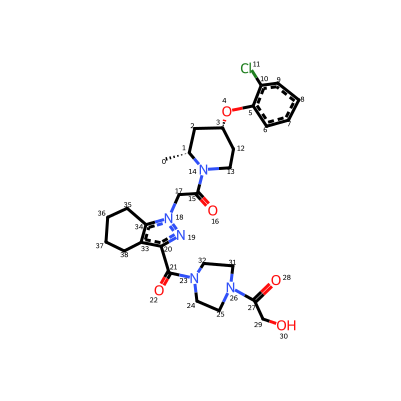 C[C@@H]1C[C@H](Oc2ccccc2Cl)CCN1C(=O)Cn1nc(C(=O)N2CCN(C(=O)CO)CC2)c2c1CCCC2